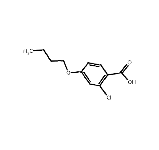 CCCCOc1ccc(C(=O)O)c(Cl)c1